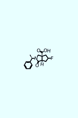 C[C@H](c1ccccc1)N1C[C@]2(C(=O)O)CC(F)C[C@@H]2C1=O